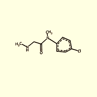 CNCC(=O)N(C)c1ccc(Cl)cc1